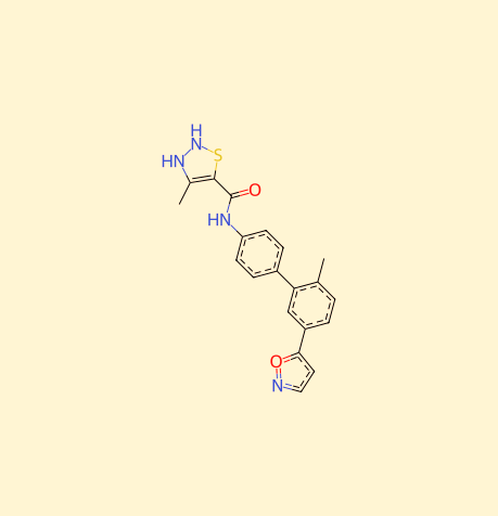 CC1=C(C(=O)Nc2ccc(-c3cc(-c4ccno4)ccc3C)cc2)SNN1